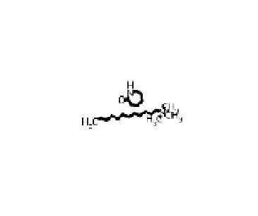 CCCCCCCCCCCC[N+](C)(C)C.O=C1CCCCCN1